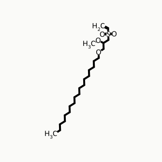 C=CS(=O)(=O)CC(COCCCCCCCCCCCCCCCCCC)OC